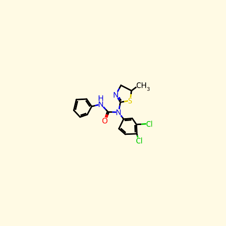 CC1CN=C(N(C(=O)Nc2ccccc2)c2ccc(Cl)c(Cl)c2)S1